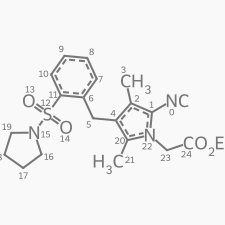 [C-]#[N+]c1c(C)c(Cc2ccccc2S(=O)(=O)N2CCCC2)c(C)n1CC(=O)OCC